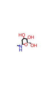 CN[C@@H]1C[C@@H](O)[C@@H](O)[C@@H](CO)O1